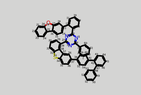 c1ccc(-c2nc(-c3ccccc3-c3ccc4c(c3)oc3ccccc34)nc(-c3cccc4sc5ccc(-c6ccc(-c7ccccc7-c7ccccc7)cc6)cc5c34)n2)cc1